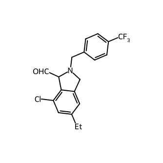 CCc1cc(Cl)c2c(c1)CN(Cc1ccc(C(F)(F)F)cc1)C2C=O